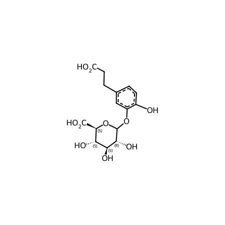 O=C(O)CCc1ccc(O)c(OC2O[C@H](C(=O)O)[C@@H](O)[C@H](O)[C@H]2O)c1